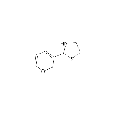 [CH]1OC=CC=C1C1NCCS1